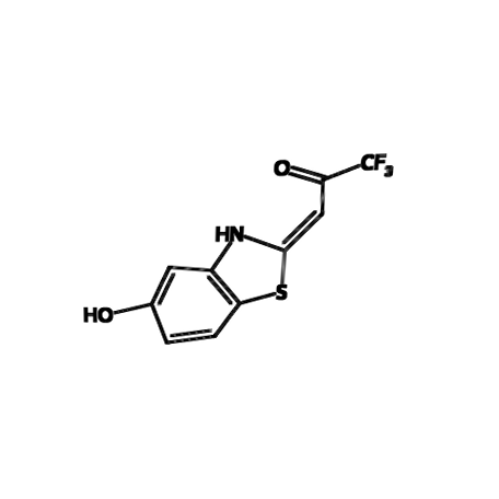 O=C(/C=C1\Nc2cc(O)ccc2S1)C(F)(F)F